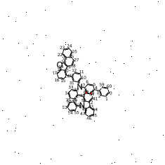 c1ccc(-c2ccc(N(c3cccc(-c4cccc5oc6c7ccccc7ccc6c45)c3)c3ccccc3-c3cccc4c5ccccc5n(-c5ccccc5)c34)cc2)cc1